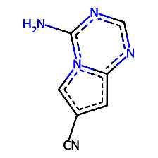 N#Cc1cc2ncnc(N)n2c1